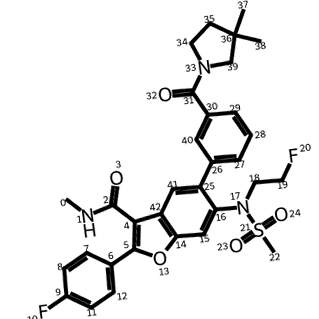 CNC(=O)c1c(-c2ccc(F)cc2)oc2cc(N(CCF)S(C)(=O)=O)c(-c3cccc(C(=O)N4CCC(C)(C)C4)c3)cc12